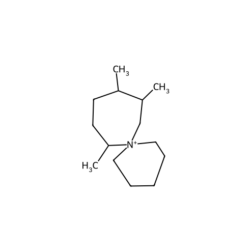 CC1CCC(C)[N+]2(CCCCC2)CC1C